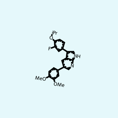 COc1ccc(-c2cnc3[nH]cc(-c4ccc(OC(C)C)c(F)c4)c3c2)cc1OC